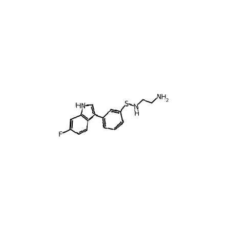 NCCNSc1cccc(-c2c[nH]c3cc(F)ccc23)c1